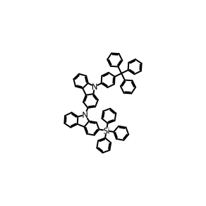 c1ccc(C(c2ccccc2)(c2ccccc2)c2ccc(-n3c4ccccc4c4cc(-n5c6ccccc6c6ccc([Si](c7ccccc7)(c7ccccc7)c7ccccc7)cc65)ccc43)cc2)cc1